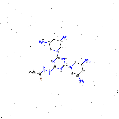 CNC(=S)NNc1nc(N2C[C@H](N)C[C@H](N)C2)nc(N2C[C@H](N)C[C@H](N)C2)n1